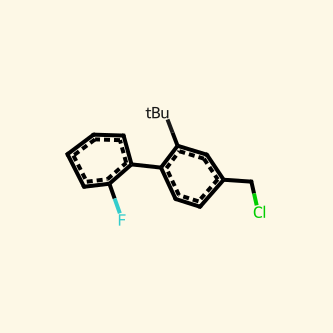 CC(C)(C)c1cc(CCl)ccc1-c1ccccc1F